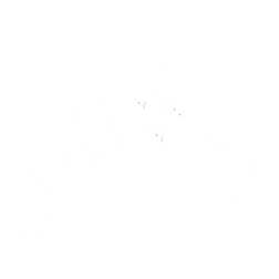 c1ccc(-c2ccc(-c3nc(-c4ccccc4)nc(-c4ccc(-c5ccc6oc7ccccc7c6c5)c5c4oc4ccccc45)n3)cc2)cc1